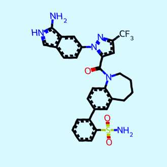 Nc1[nH]cc2ccc(-n3nc(C(F)(F)F)cc3C(=O)N3CCCCc4cc(-c5ccccc5S(N)(=O)=O)ccc43)cc12